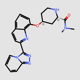 CN(C)C(=O)[C@@H]1C[C@@H](Oc2cccc3ccc(-c4nnc5ccccn45)nc23)CCN1